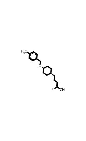 N#C/C(F)=C/CC[C@H]1CC[C@H](OCc2ccc(C(F)(F)F)cc2)CC1